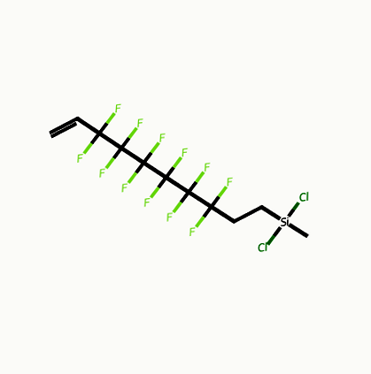 C=CC(F)(F)C(F)(F)C(F)(F)C(F)(F)C(F)(F)C(F)(F)CC[Si](C)(Cl)Cl